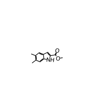 COC(=O)c1cc2cc(C)c(C)cc2[nH]1